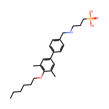 CCCCCCOc1c(C)cc(-c2ccc(CNCCCP(=O)(O)O)cc2)cc1C